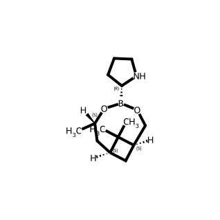 C[C@H]1C[C@@H]2C[C@H](COB([C@@H]3CCCN3)O1)C2(C)C